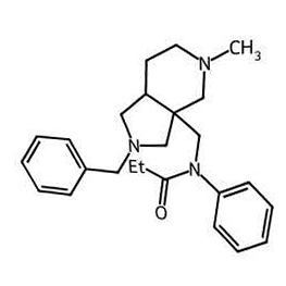 CCC(=O)N(CC12CN(C)CCC1CN(Cc1ccccc1)C2)c1ccccc1